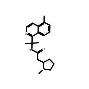 Cc1cccc2c(C(C)(C)NC(=O)CC3CCCN3C)nccc12